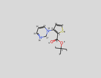 CC(C)(C)OC(=O)c1sccc1N1C=CC=NC1